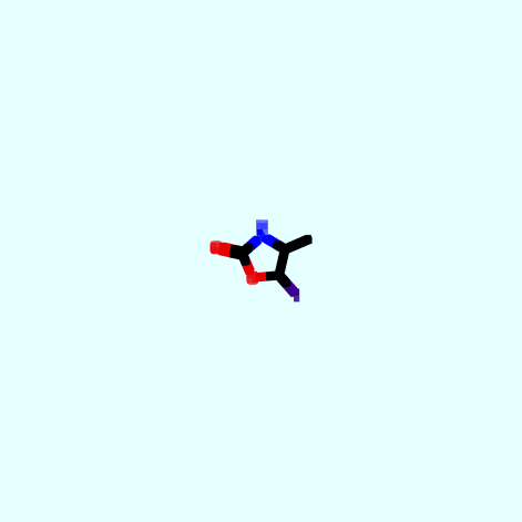 CC1NC(=O)OC1I